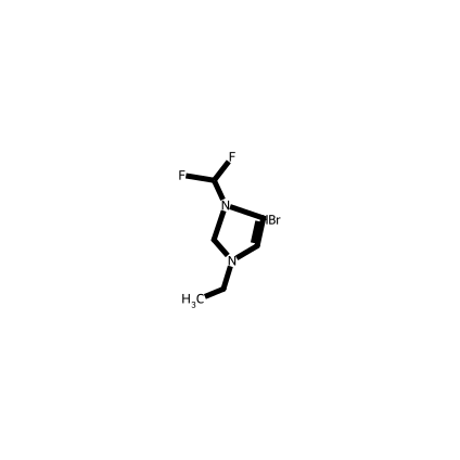 Br.CCN1C=CN(C(F)F)C1